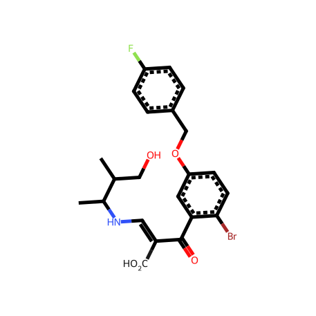 CC(CO)C(C)NC=C(C(=O)O)C(=O)c1cc(OCc2ccc(F)cc2)ccc1Br